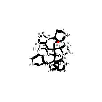 CCOC([O])(c1nnnn1-c1cccnc1)C(Cc1nnnn1-c1ccncc1)(OC)c1nnnn1-c1ccccn1